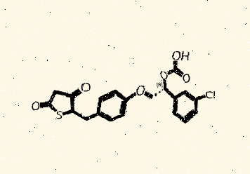 O=C(O)O[C@@H](COc1ccc(CC2SC(=O)CC2=O)cc1)c1cccc(Cl)c1